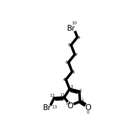 O=C1C=C(CCCCCCBr)C(=CBr)O1